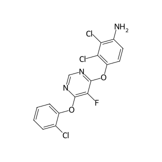 Nc1ccc(Oc2ncnc(Oc3ccccc3Cl)c2F)c(Cl)c1Cl